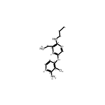 CCCNc1ncc(Sc2ccnc(N)c2Cl)nc1CO